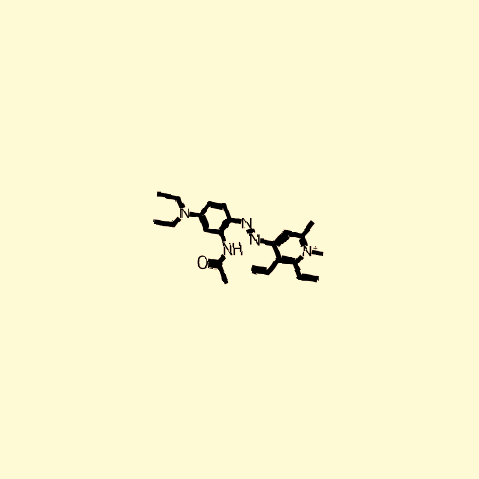 C=Cc1c(/N=N/c2ccc(N(CC)CC)cc2NC(C)=O)cc(C)[n+](C)c1C=C